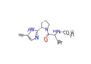 C#Cc1cnc(C2CCCN2C(=O)C(NC(=O)O)C(C)C)[nH]1